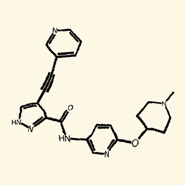 CN1CCC(Oc2ccc(NC(=O)c3n[nH]cc3C#Cc3cccnc3)cn2)CC1